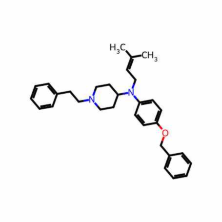 CC(C)=CCN(c1ccc(OCc2ccccc2)cc1)C1CCN(CCc2ccccc2)CC1